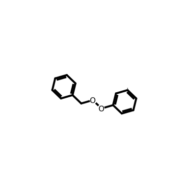 [c]1cccc(OOCc2ccccc2)c1